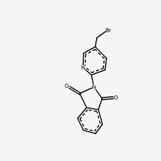 O=C1c2ccccc2C(=O)N1c1ccc(CBr)cn1